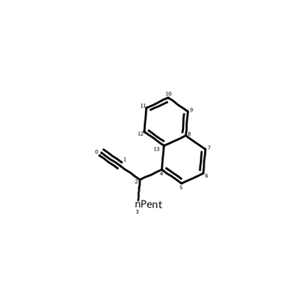 [C]#CC(CCCCC)c1cccc2ccccc12